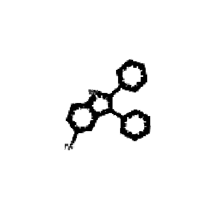 FC(F)(F)c1ccc2[nH]c(-c3ccccc3)c(-c3ccccc3)c2c1